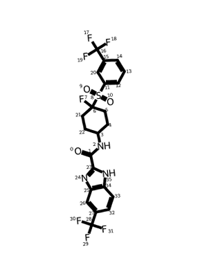 O=C(NC1CCC(F)(S(=O)(=O)c2cccc(C(F)(F)F)c2)CC1)c1nc2cc(C(F)(F)F)ccc2[nH]1